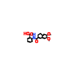 COc1cc2c(cc1OC)CCC(C(=O)Nc1ccccc1C(=O)O)=C2